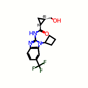 O=C(Nc1nc2ccc(C(F)(F)F)cc2n1C1CCC1)[C@H]1C[C@@H]1CO